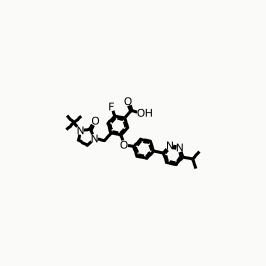 CC(C)c1ccc(-c2ccc(Oc3cc(C(=O)O)c(F)cc3CN3CCN(C(C)(C)C)C3=O)cc2)nn1